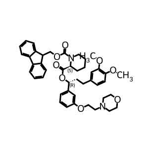 COc1ccc(CC[C@@H](OC(=O)[C@@H]2CCCCN2C(=O)OCC2c3ccccc3-c3ccccc32)c2cccc(OCCN3CCOCC3)c2)cc1OC